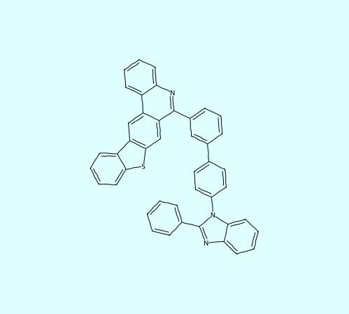 c1ccc(-c2nc3ccccc3n2-c2ccc(-c3cccc(-c4nc5ccccc5c5cc6c(cc45)sc4ccccc46)c3)cc2)cc1